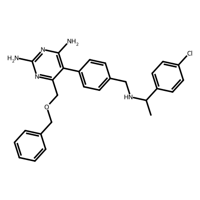 CC(NCc1ccc(-c2c(N)nc(N)nc2COCc2ccccc2)cc1)c1ccc(Cl)cc1